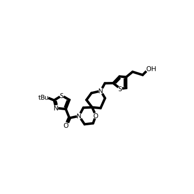 CC(C)(C)c1nc(C(=O)N2CCOC3(CCN(Cc4cc(CCO)cs4)CC3)C2)cs1